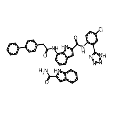 NC(=O)c1cc2ccccc2[nH]1.O=C(Cc1ccc(-c2ccccc2)cc1)Nc1cccc2cc(C(=O)Nc3ccc(Cl)cc3-c3nnn[nH]3)[nH]c12